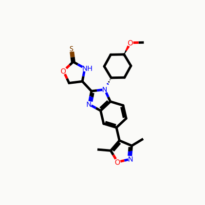 CO[C@H]1CC[C@H](n2c(C3COC(=S)N3)nc3cc(-c4c(C)noc4C)ccc32)CC1